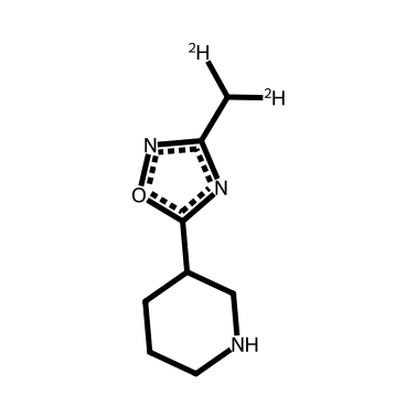 [2H]C([2H])c1noc(C2CCCNC2)n1